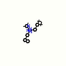 Cc1cc(C)nc(-c2nc(-c3ccc(-c4cccc5ccccc45)cc3)nc(-c3cccc(-c4ccc5c(c4)C(C)(C)CCC5(C)C)c3)n2)c1